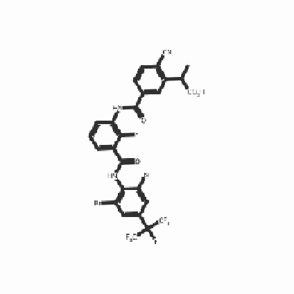 CC(C(=O)O)c1cc(C(=O)Nc2cccc(C(=O)Nc3c(Br)cc(C(F)(C(F)(F)F)C(F)(F)F)cc3Br)c2F)ccc1C#N